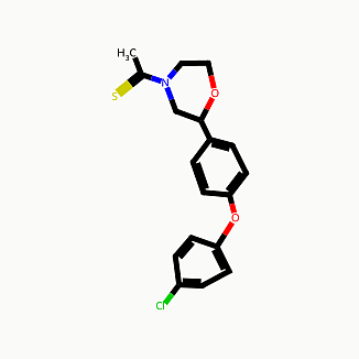 CC(=S)N1CCOC(c2ccc(Oc3ccc(Cl)cc3)cc2)C1